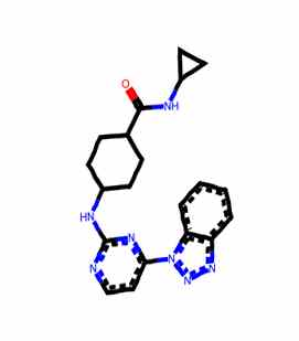 O=C(NC1CC1)C1CCC(Nc2nccc(-n3nnc4ccccc43)n2)CC1